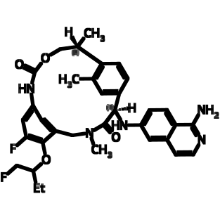 CCC(CF)Oc1c(F)cc2cc1CN(C)C(=O)[C@H](Nc1ccc3c(N)nccc3c1)c1ccc(c(C)c1)[C@@H](C)COC(=O)N2